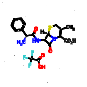 CC1=C(C(=O)O)N2C(=O)[C@@H](NC(=O)[C@H](N)c3ccccc3)[C@H]2SC1.O=C(O)C(F)(F)F